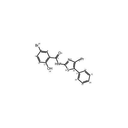 CC(C)c1nc(NC(=O)c2cc(Br)ccc2O)sc1-c1ccccc1